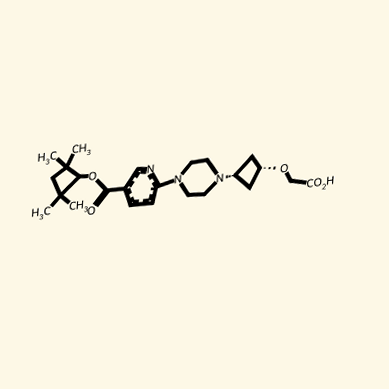 CC1(C)CC(C)(C)C1OC(=O)c1ccc(N2CCN([C@H]3C[C@@H](OCC(=O)O)C3)CC2)nc1